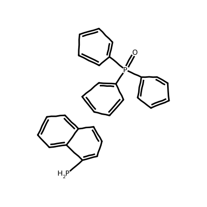 O=P(c1ccccc1)(c1ccccc1)c1ccccc1.Pc1cccc2ccccc12